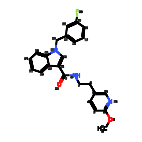 COc1ccc(CCNC(=O)c2cn(Cc3cccc(F)c3)c3ccccc23)cn1